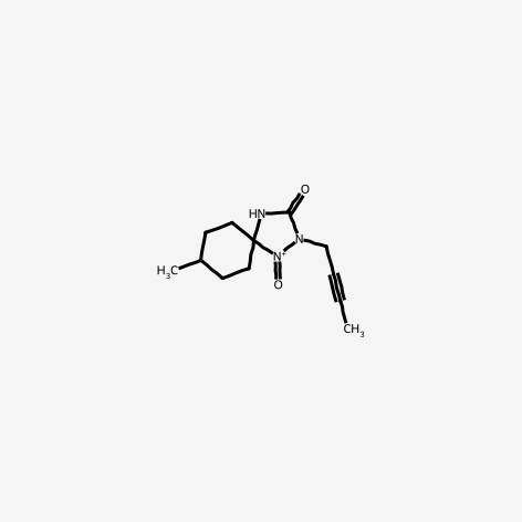 CC#CCN1C(=O)NC2(CCC(C)CC2)[N+]1=O